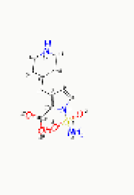 NS(=O)(=O)n1ccc(CC2CCNCC2)c1C(=O)O